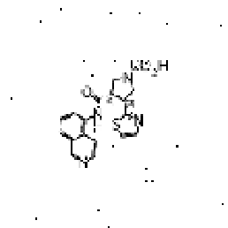 O=C(Nc1cccc2cnccc12)[C@@H]1CN(C(=O)O)C[C@H]1c1nccs1